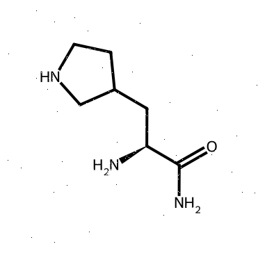 NC(=O)[C@@H](N)CC1CCNC1